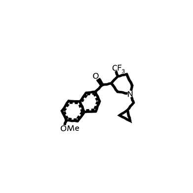 COc1ccc2cc(C(=O)C3CN(CC4CC4)CCC3C(F)(F)F)ccc2c1